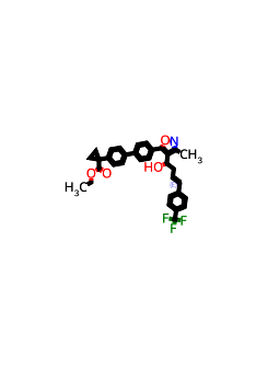 CCOC(=O)C1(c2ccc(-c3ccc(-c4onc(C)c4C(O)C/C=C/c4ccc(C(F)(F)F)cc4)cc3)cc2)CC1